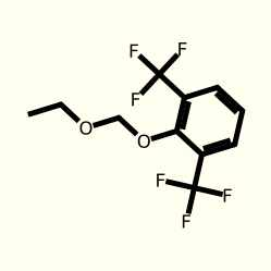 CCOCOc1c(C(F)(F)F)cccc1C(F)(F)F